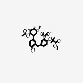 CCOC(=O)C(C)(C)Oc1ccc(Cc2cc(C3C[C@H](CC)[C@@H](C)[C@H](C)[C@H]3OC(C)=O)ccc2Cl)cc1[N+](=O)[O-]